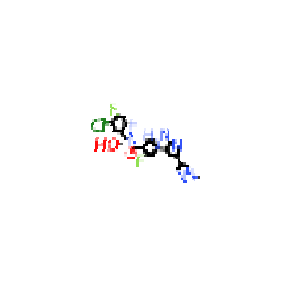 Cn1cc(-c2cnc(N)c(-c3ccc(C(=O)N[C@H](CO)c4ccc(F)c(Cl)c4)c(F)c3)c2)cn1